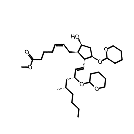 CCCC[C@H](C)C[C@H](/C=C/[C@@H]1[C@@H](C/C=C\CCCC(=O)OC)[C@@H](O)C[C@H]1OC1CCCCO1)OC1CCCCO1